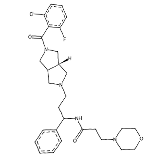 O=C(CCN1CCOCC1)NC(CCN1CC2CN(C(=O)c3c(F)cccc3Cl)C[C@@H]2C1)c1ccccc1